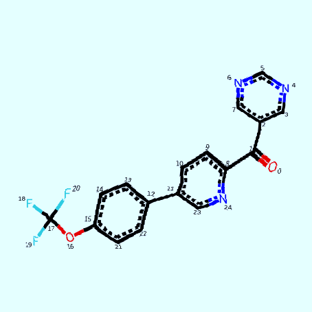 O=C(c1cncnc1)c1ccc(-c2ccc(OC(F)(F)F)cc2)cn1